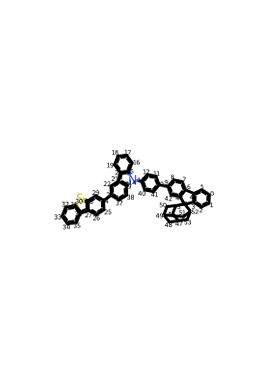 c1ccc2c(c1)-c1ccc(-c3ccc(-n4c5ccccc5c5cc(-c6ccc7c(c6)sc6ccccc67)ccc54)cc3)cc1C21C2CC3CC(C2)CC1C3